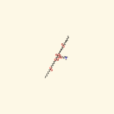 CCCCCCCCC(=O)OCCCCCCCOC(=O)C[C@H](OC(=O)OCCCN(C)C)C(=O)OCCCCCCCOC(=O)CCCCCCCC